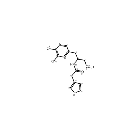 O=C(O)CC(Cc1ccc(Cl)c(Cl)c1)NC(=O)Cc1ccsc1